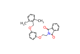 Cc1cccc(C)c1COc1cccc(OCCN2C(=O)c3ccccc3C2=O)c1